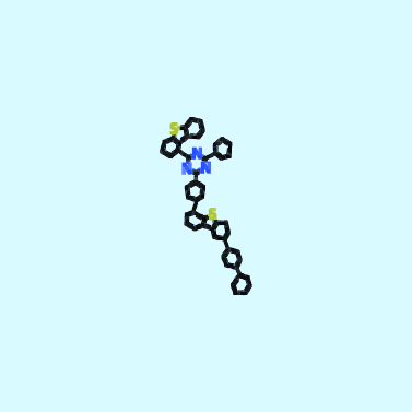 c1ccc(-c2ccc(-c3ccc4sc5c(-c6ccc(-c7nc(-c8ccccc8)nc(-c8cccc9sc%10ccccc%10c89)n7)cc6)cccc5c4c3)cc2)cc1